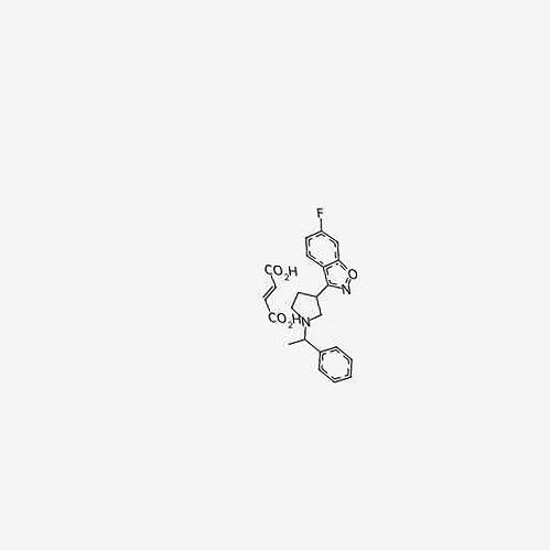 CC(c1ccccc1)N1CCC(c2noc3cc(F)ccc23)C1.O=C(O)C=CC(=O)O